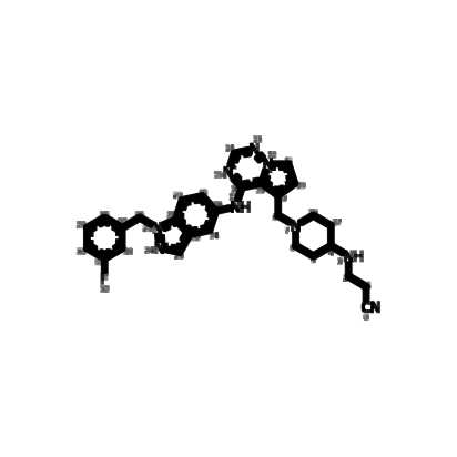 N#CCCNC1CCN(Cc2ccn3ncnc(Nc4ccc5c(cnn5Cc5cccc(F)c5)c4)c23)CC1